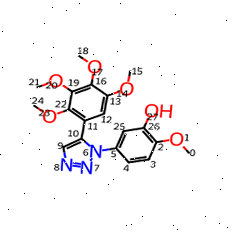 COc1ccc(-n2nncc2-c2cc(OC)c(OC)c(OC)c2OC)cc1O